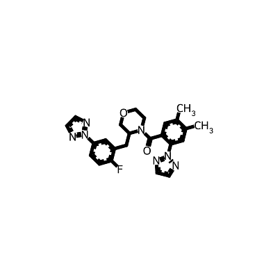 Cc1cc(C(=O)N2CCOCC2Cc2cc(-n3nccn3)ccc2F)c(-n2nccn2)cc1C